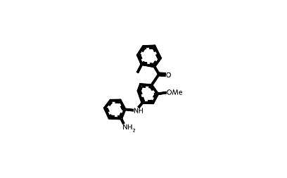 COc1cc(Nc2ccccc2N)ccc1C(=O)c1ccccc1C